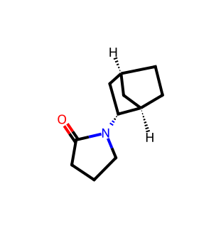 O=C1CCCN1[C@@H]1C[C@H]2CC[C@@H]1C2